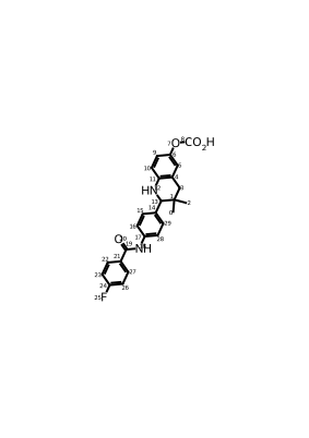 CC1(C)Cc2cc(OC(=O)O)ccc2NC1c1ccc(NC(=O)c2ccc(F)cc2)cc1